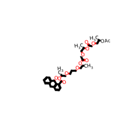 CC(=O)OC(C)COCC(=O)OC(C)COCC(=O)OC(C)COCCCOCC(C)OC(=O)c1cccc2c1C(=O)c1ccccc1C2